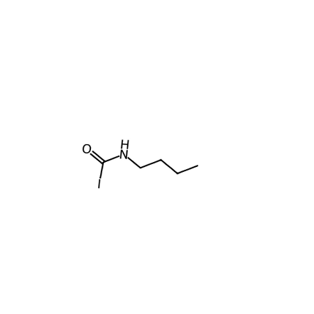 CCCCNC(=O)I